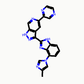 Cc1cn(-c2cccc3[nH]c(-c4n[nH]c5cnc(-c6cnccn6)cc45)nc23)cn1